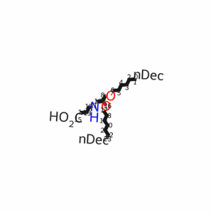 CCCCCCCCCCCCCCCCOCC(CNCCCC(=O)O)OCCCCCCCCCCCCCCCC